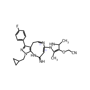 CC1=C(OCC#N)C(C)NN1C1=C/C(=N)Nc2c(c(-c3ccc(F)cc3)nn2CC2CC2)C/C=N\1